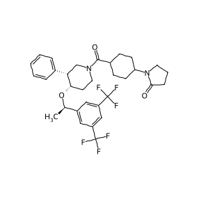 C[C@@H](O[C@H]1CCN(C(=O)C2CCC(N3CCCC3=O)CC2)C[C@H]1c1ccccc1)c1cc(C(F)(F)F)cc(C(F)(F)F)c1